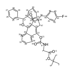 CC(C)(C)OC(=O)CNC(=O)Oc1c2c(c(OC(c3ccccc3)c3ccccc3)c3ncccc13)C(=O)N(Cc1ccc(F)cc1)C2